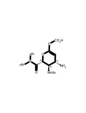 CCCN(CCC)C(=O)[C@@H]1OC(OC(=O)O)=C[C@H](N)[C@H]1NC(C)=O